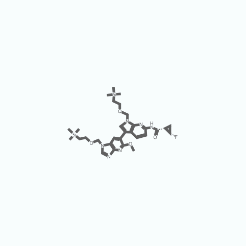 COc1nc2ncn(COCC[Si](C)(C)C)c2cc1-c1cn(COCC[Si](C)(C)C)c2nc(NC(=O)[C@@H]3C[C@@H]3F)ccc12